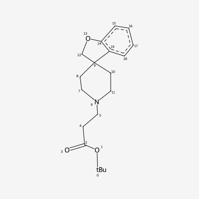 CC(C)(C)OC(=O)CCN1CCC2(CC1)COc1ccccc12